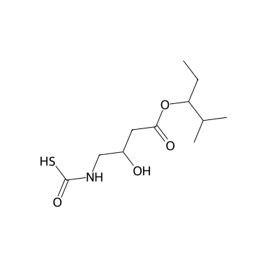 CCC(OC(=O)CC(O)CNC(=O)S)C(C)C